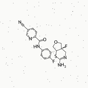 N#Cc1ccc(C(=O)Nc2ccc(F)c([C@]34COC[C@]3(F)CN=C(N)S4)c2)nc1